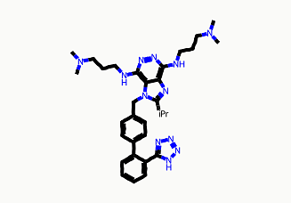 CC(C)c1nc2c(NCCCN(C)C)nnc(NCCCN(C)C)c2n1Cc1ccc(-c2ccccc2-c2nnn[nH]2)cc1